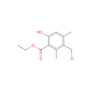 CCOC(=O)c1c(O)cc(C)c(CCl)c1C